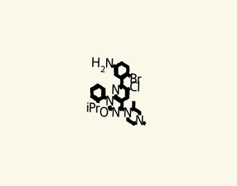 CC(C)c1ccccc1-n1c(=O)nc(N2CCN(C)CC2C)c2cc(Cl)c(C3=C(Br)CCC(N)=C3)nc21